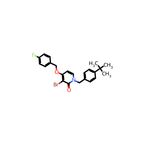 CC(C)(C)c1ccc(Cn2ccc(OCc3ccc(F)cc3)c(Br)c2=O)cc1